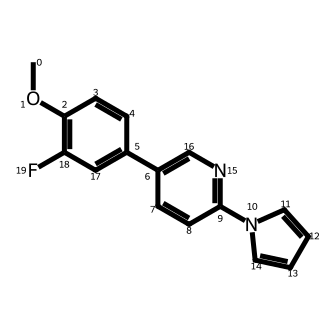 COc1ccc(-c2ccc(-n3cccc3)nc2)cc1F